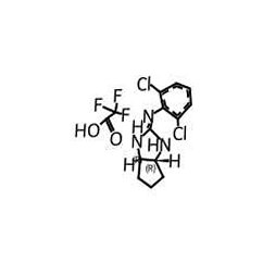 Clc1cccc(Cl)c1N=C1N[C@@H]2CCC[C@H]2N1.O=C(O)C(F)(F)F